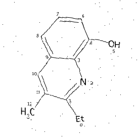 CCc1nc2c(O)cccc2cc1C